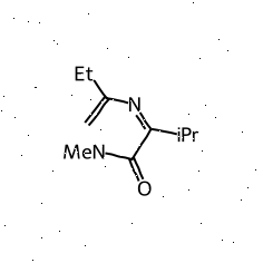 C=C(CC)/N=C(\C(=O)NC)C(C)C